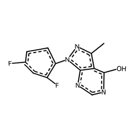 Cc1nn(-c2ccc(F)cc2F)c2ncnc(O)c12